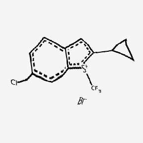 FC(F)(F)[s+]1c(C2CC2)cc2ccc(Cl)cc21.[Br-]